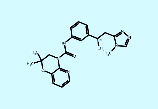 C[C@H](Cc1nncn1C)c1cccc(NC(=O)N2CC(C)(C)Oc3cccnc32)c1